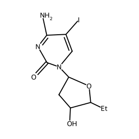 CCC1OC(n2cc(I)c(N)nc2=O)CC1O